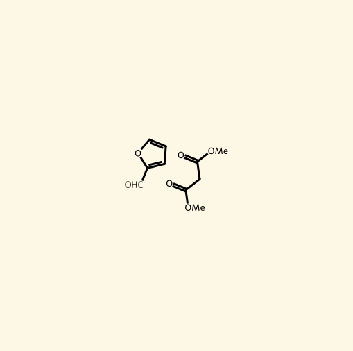 COC(=O)CC(=O)OC.O=Cc1ccco1